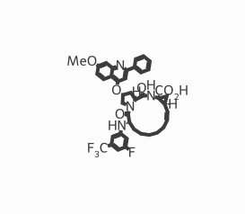 COc1ccc2c(O[C@@H]3C[C@H]4C(=O)N[C@]5(C(=O)O)C[C@H]5/C=C\CCCCC[C@H](Nc5cc(F)cc(C(F)(F)F)c5)C(=O)N4C3)cc(-c3ccccc3)nc2c1